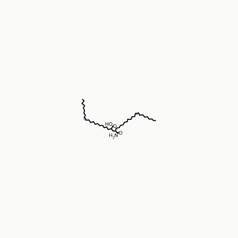 CCCCCCCC/C=C\CCCCCCCCCCC(CC(CCCCCCCCCC/C=C\CCCCCCCC)C(=O)O)C(N)=O